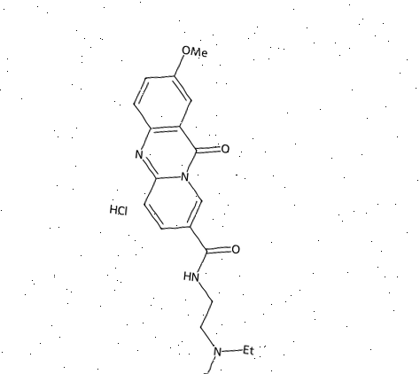 CCN(CC)CCNC(=O)c1ccc2nc3ccc(OC)cc3c(=O)n2c1.Cl